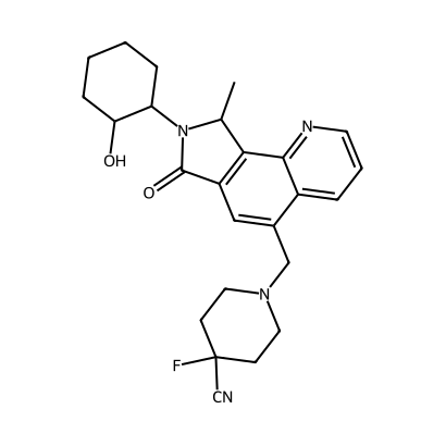 CC1c2c(cc(CN3CCC(F)(C#N)CC3)c3cccnc23)C(=O)N1C1CCCCC1O